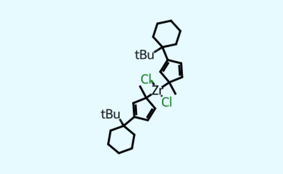 CC(C)(C)C1(C2=C[C](C)([Zr]([Cl])([Cl])[C]3(C)C=CC(C4(C(C)(C)C)CCCCC4)=C3)C=C2)CCCCC1